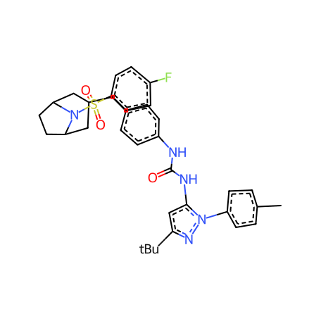 Cc1ccc(-n2nc(C(C)(C)C)cc2NC(=O)Nc2ccc(CC3CC4CCC(C3)N4S(=O)(=O)c3ccc(F)cc3)cc2)cc1